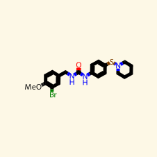 COc1ccc(CNC(=O)Nc2ccc(SN3CCCCC3)cc2)cc1Br